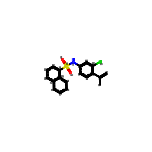 C=C(C)c1ccc(NS(=O)(=O)c2cccc3ccccc23)cc1Cl